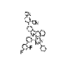 N#CC1=CC(C#N)CC=C1c1ccc2c(c1)c1ccccc1n2-c1ccc(-c2ccc(F)cc2F)cc1-c1nc(-c2ccccc2)nc(-c2ccccc2)n1